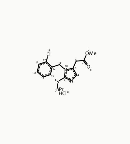 CCCSc1ncc(CC(=O)OC)n1Cc1ccccc1Cl.Cl